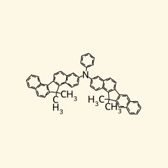 CC1(C)c2cc3ccccc3cc2-c2ccc3cc(N(c4ccccc4)c4ccc5c6c(ccc5c4)-c4c(ccc5ccccc45)C6(C)C)ccc3c21